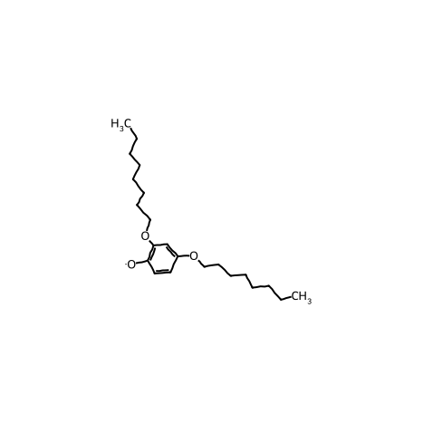 CCCCCCCCOc1ccc([O])c(OCCCCCCCC)c1